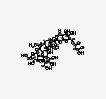 C=C1C[C@@]23CC[C@H]4[C@@](C)(CCC[C@@]4(C)C(=O)O[C@@H]4OC(COC(=O)CC(=O)O)[C@@H](O)C(O)C4O)[C@@H]2CC[C@]1(OC1O[C@H](CO)C(O)C(O)[C@H]1O[C@@H]1OC(CO)[C@@H](O)C(O)C1O)C3